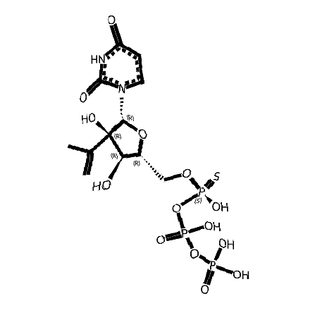 C=C(C)[C@@]1(O)[C@H](O)[C@@H](CO[P@](O)(=S)OP(=O)(O)OP(=O)(O)O)O[C@H]1n1ccc(=O)[nH]c1=O